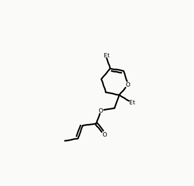 CC=CC(=O)OCC1(CC)CCC(CC)=CO1